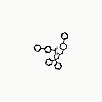 O=C(NCC(CCCN1CCC(c2ccccc2)CC1)(c1ccccc1)c1ccccc1)c1ccc(-c2ccccc2)cc1